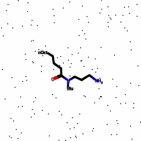 CCCCCCCCCCCC(=O)N(CCCN)C(C)(C)C